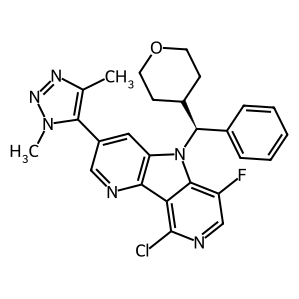 Cc1nnn(C)c1-c1cnc2c3c(Cl)ncc(F)c3n([C@H](c3ccccc3)C3CCOCC3)c2c1